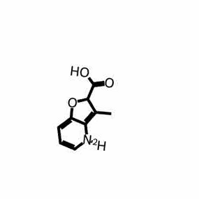 [2H]N1C=CC=C2OC(C(=O)O)C(C)=C21